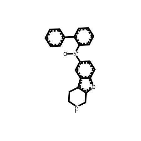 [O-][S+](c1ccc2oc3c(c2c1)CCNC3)c1ccccc1-c1ccccc1